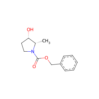 C[C@H]1[C@@H](O)CCN1C(=O)OCc1ccccc1